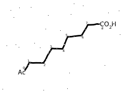 CC(=O)CCCCCCCC(=O)O